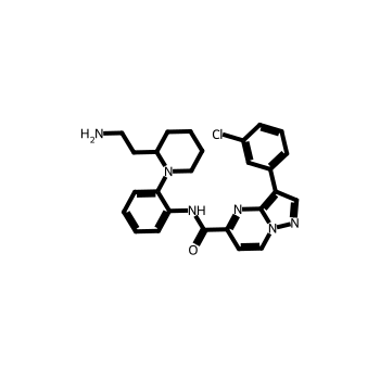 NCCC1CCCCN1c1ccccc1NC(=O)c1ccn2ncc(-c3cccc(Cl)c3)c2n1